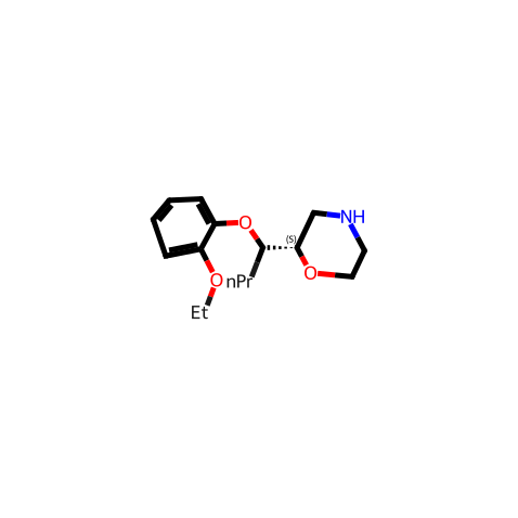 CCCC(Oc1ccccc1OCC)[C@@H]1CNCCO1